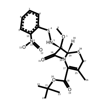 CO[C@@]1(NSc2ccccc2[N+](=O)[O-])C(=O)N2C(C(=O)OC(C)(C)C)=C(C)CS[C@H]21